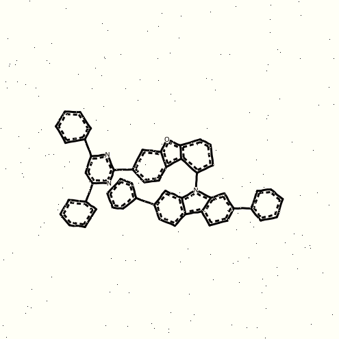 c1ccc(-c2ccc3c4ccc(-c5ccccc5)cc4n(-c4cccc5oc6cc(-c7nc(-c8ccccc8)cc(-c8ccccc8)n7)ccc6c45)c3c2)cc1